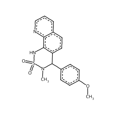 COc1ccc(C2c3ccc4cccnc4c3NS(=O)(=O)N2C)cc1